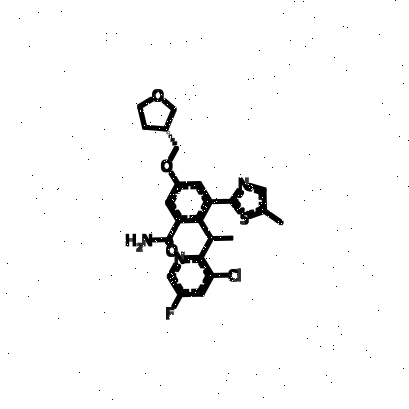 Cc1cnc(-c2cc(OC[C@@H]3CCOC3)cc(C(N)=O)c2C(C)c2ncc(F)cc2Cl)s1